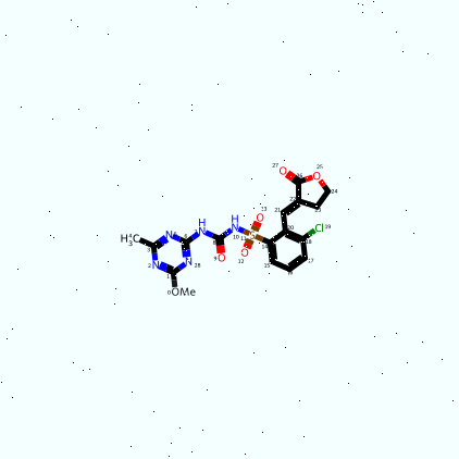 COc1nc(C)nc(NC(=O)NS(=O)(=O)c2cccc(Cl)c2C=C2CCOC2=O)n1